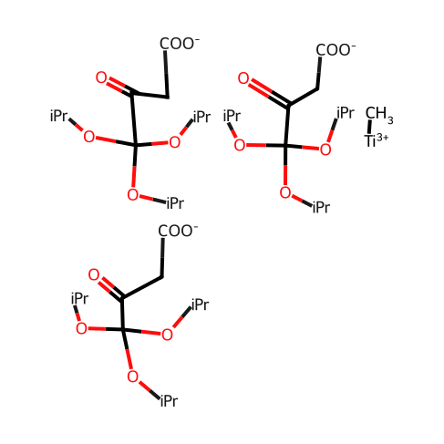 CC(C)OC(OC(C)C)(OC(C)C)C(=O)CC(=O)[O-].CC(C)OC(OC(C)C)(OC(C)C)C(=O)CC(=O)[O-].CC(C)OC(OC(C)C)(OC(C)C)C(=O)CC(=O)[O-].[CH3][Ti+3]